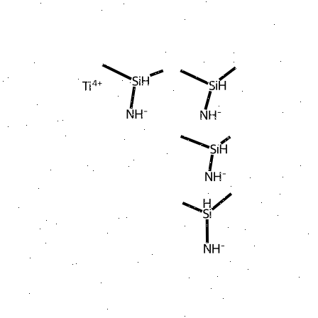 C[SiH](C)[NH-].C[SiH](C)[NH-].C[SiH](C)[NH-].C[SiH](C)[NH-].[Ti+4]